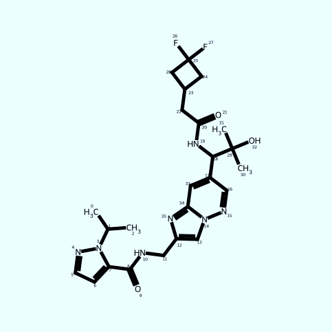 CC(C)n1nccc1C(=O)NCc1cn2ncc(C(NC(=O)CC3CC(F)(F)C3)C(C)(C)O)cc2n1